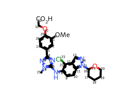 COc1cc(-c2nc(Nc3ccc4c(cnn4C4CCCCO4)c3Cl)n(C)n2)ccc1OCC(=O)O